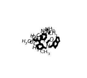 COC(=O)C(C)(C)C(c1ccc(C)c(CN2CCOc3c(ccc4c3CCC4)C2)c1)c1ccc(N(C)N)c(N)c1C